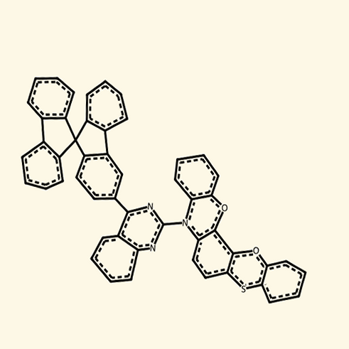 c1ccc2c(c1)-c1ccccc1C21c2ccccc2-c2cc(-c3nc(-n4c5ccccc5oc5c6oc7ccccc7sc6ccc54)nc4ccccc34)ccc21